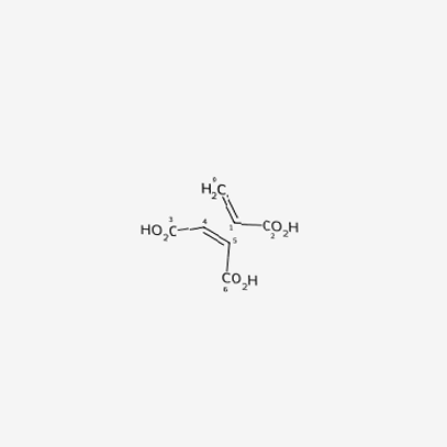 C=CC(=O)O.O=C(O)/C=C\C(=O)O